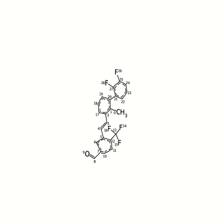 Cc1c(/C=C/c2cc(C=O)ccc2C(F)(F)F)cccc1-c1cccc(F)c1F